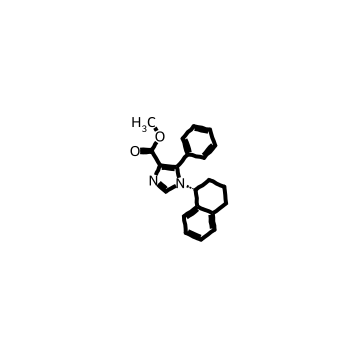 COC(=O)c1ncn([C@@H]2CCCc3ccccc32)c1-c1ccccc1